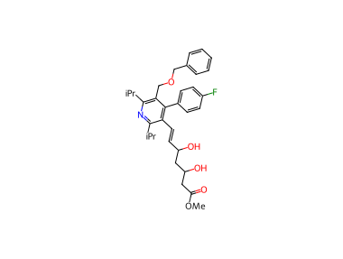 COC(=O)CC(O)CC(O)C=Cc1c(C(C)C)nc(C(C)C)c(COCc2ccccc2)c1-c1ccc(F)cc1